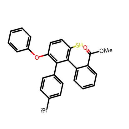 COC(=O)c1ccccc1-c1c(S)ccc(Oc2ccccc2)c1-c1ccc(C(C)C)cc1